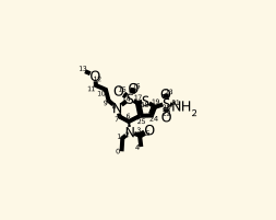 CCN(C(C)=O)[C@H]1CN(CCCOC)S(=O)(=O)c2sc(S(N)(=O)=O)cc21